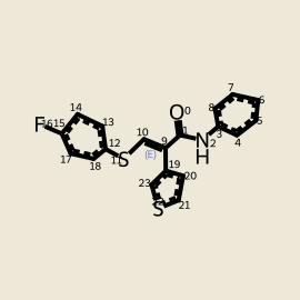 O=C(Nc1ccccc1)/C(=C/Sc1ccc(F)cc1)c1ccsc1